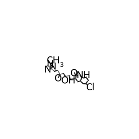 Cn1cnc(/C=C/C(=O)/C=C(O)/C=C/c2cc3cc(Cl)ccc3[nH]c2=O)n1